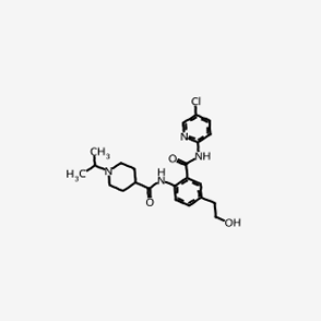 CC(C)N1CCC(C(=O)Nc2ccc(CCO)cc2C(=O)Nc2ccc(Cl)cn2)CC1